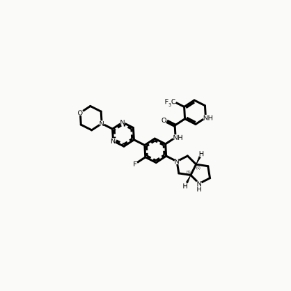 O=C(Nc1cc(-c2cnc(N3CCOCC3)nc2)c(F)cc1N1C[C@@H]2CCN[C@@H]2C1)C1=CNCC=C1C(F)(F)F